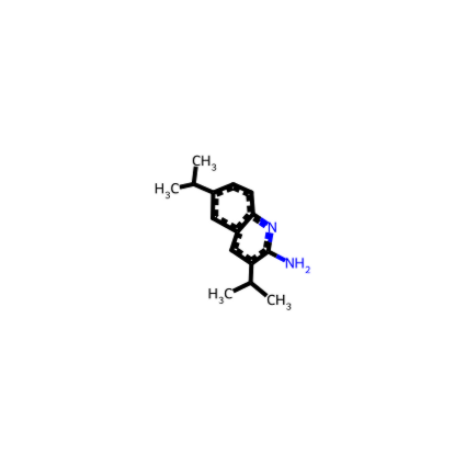 CC(C)c1ccc2nc(N)c(C(C)C)cc2c1